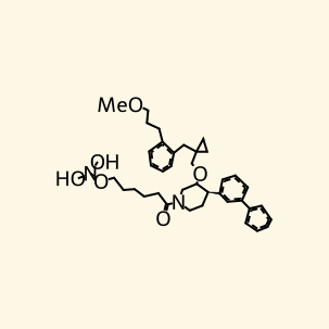 COCCCc1ccccc1CC1(COC2CN(C(=O)CCCCCON(O)O)CC[C@@H]2c2cccc(-c3ccccc3)c2)CC1